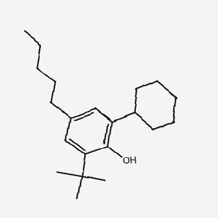 CCCCCc1cc(C2CCCCC2)c(O)c(C(C)(C)C)c1